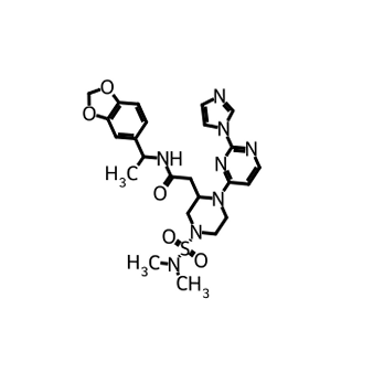 CC(NC(=O)CC1CN(S(=O)(=O)N(C)C)CCN1c1ccnc(-n2ccnc2)n1)c1ccc2c(c1)OCO2